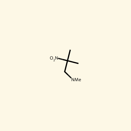 CNCC(C)(C)[N+](=O)[O-]